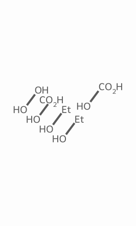 CCO.CCO.O=C(O)O.O=C(O)O.OO